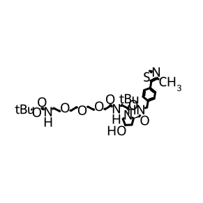 Cc1ncsc1-c1ccc(CNC(=O)[C@H]2C[C@@H](O)CN2C(=O)[C@@H](NC(=O)COCCOCCOCCNC(=O)OC(C)(C)C)C(C)(C)C)cc1